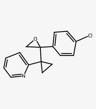 Clc1ccc(C2(C3(c4ccccn4)CC3)CO2)cc1